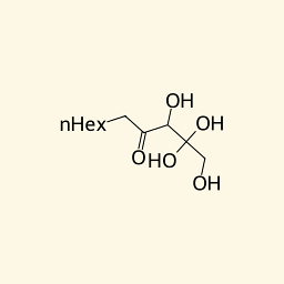 CCCCCCCC(=O)C(O)C(O)(O)CO